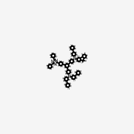 CC1(C)c2ccccc2-c2cc(N(c3ccc(-c4ccccc4)cc3)c3ccc(-c4cc(-c5ccc(-c6nc(-c7ccccc7)nc(-c7ccccc7)n6)cc5)cc(-c5ccc(N(c6cccc(-c7ccccc7)c6)c6cccc(-c7ccccc7)c6)cc5)c4)cc3)ccc21